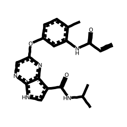 C=CC(=O)Nc1cc(Oc2cnc3[nH]cc(C(=O)NC(C)C)c3n2)ccc1C